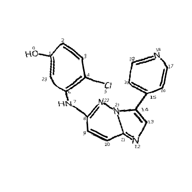 Oc1ccc(Cl)c(Nc2ccc3ncc(-c4ccncc4)n3n2)c1